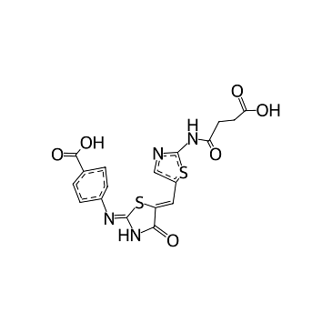 O=C(O)CCC(=O)Nc1ncc(/C=C2\S/C(=N\c3ccc(C(=O)O)cc3)NC2=O)s1